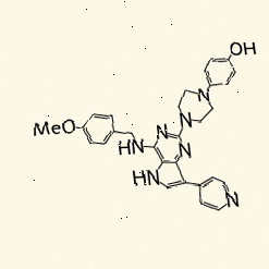 COc1ccc(CNc2nc(N3CCN(c4ccc(O)cc4)CC3)nc3c(-c4ccncc4)c[nH]c23)cc1